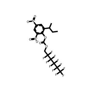 CCC(C)c1cc([N+](=O)[O-])cc([N+](=O)[O-])c1OC(=O)OCC(F)(F)C(F)(F)C(F)(F)C(F)(F)C(F)(F)F